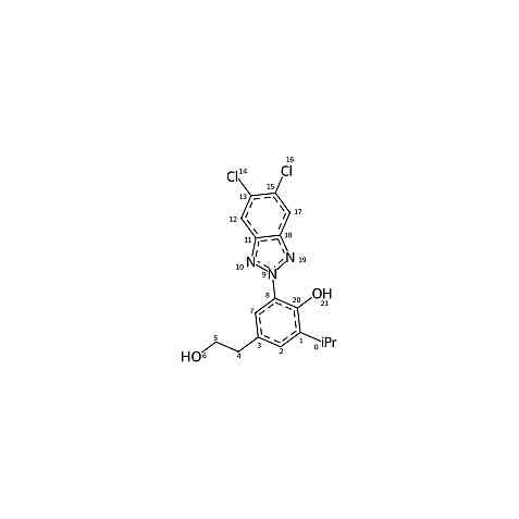 CC(C)c1cc(CCO)cc(-n2nc3cc(Cl)c(Cl)cc3n2)c1O